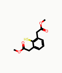 COC(=O)Cc1cccc(CC(=O)OC)c1S